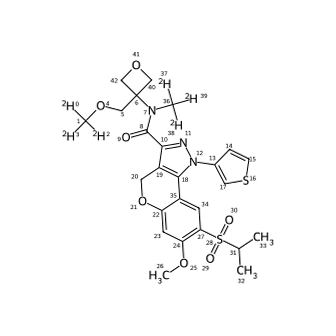 [2H]C([2H])([2H])OCC1(N(C(=O)c2nn(-c3ccsc3)c3c2COc2cc(OC)c(S(=O)(=O)C(C)C)cc2-3)C([2H])([2H])[2H])COC1